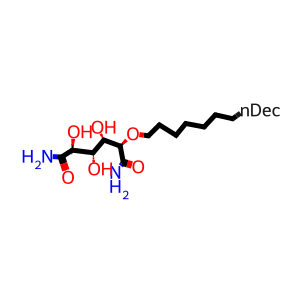 CCCCCCCCCCCCCCCCCO[C@@H](C(N)=O)[C@@H](O)[C@H](O)[C@H](O)C(N)=O